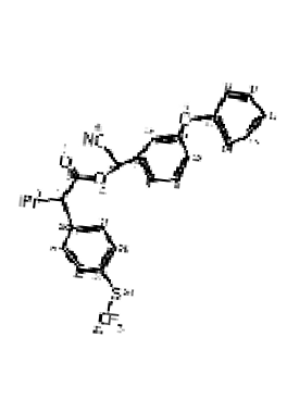 CC(C)C(C(=O)OC(C#N)c1cccc(Oc2ccccc2)c1)c1ccc(SC(F)(F)F)cc1